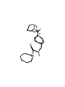 CN(Cc1ccc(C(=O)N2C3CCC2CC(F)C3)cc1)C(=O)N1CCCCC1